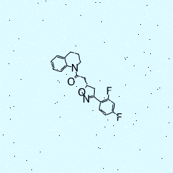 O=C(C[C@H]1CC(c2ccc(F)cc2F)=NO1)N1CCCc2ccccc21